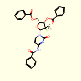 CC1(F)[C@H](OC(=O)c2ccccc2)[C@@H](COC(=O)c2ccccc2)O[C@H]1n1ccc(NC(=O)c2ccccc2)nc1=O